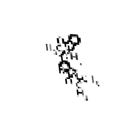 CC(C)N1Cc2cc(CC(C)(C)N3Cc4ccccc4C3=O)cnc2C1=O